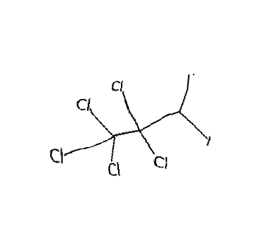 [CH2]C(I)C(Cl)(Cl)C(Cl)(Cl)Cl